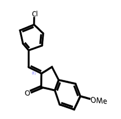 COc1ccc2c(c1)C/C(=C\c1ccc(Cl)cc1)C2=O